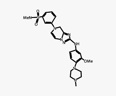 CNS(=O)(=O)c1cccc(N2C=Cn3nc(Nc4ccc(N5CCN(C)CC5)c(OC)c4)nc3C2)c1